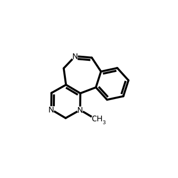 CN1CN=CC2=C1c1ccccc1C=NC2